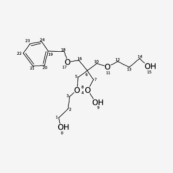 OCCCOCC(COO)(COCCCO)COCc1ccccc1